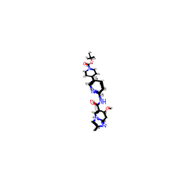 COc1cc2nc(C)cn2cc1C(=O)Nc1ccc(C2CCN(C(=O)OC(C)(C)C)CC2)cn1